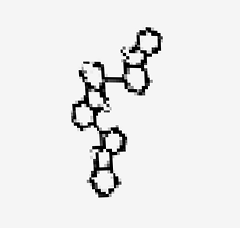 c1ccc2c(c1)sc1c(-c3cccc4c3sc3c(-c5cccc6c5sc5ccccc56)cccc34)cccc12